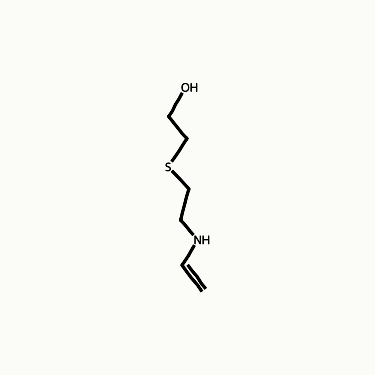 C=CNCCSCCO